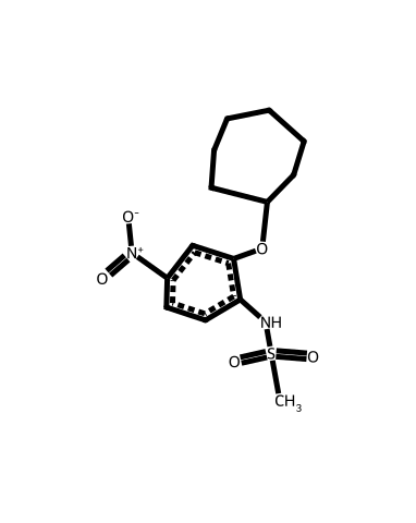 CS(=O)(=O)Nc1ccc([N+](=O)[O-])cc1OC1CCCCCC1